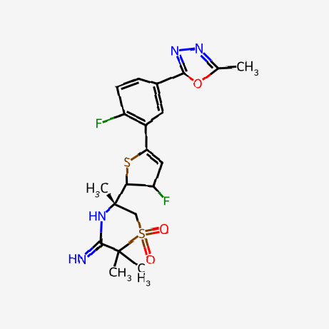 Cc1nnc(-c2ccc(F)c(C3=CC(F)C([C@]4(C)CS(=O)(=O)C(C)(C)C(=N)N4)S3)c2)o1